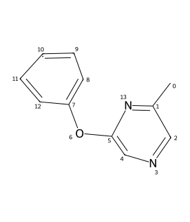 Cc1cncc(Oc2cc[c]cc2)n1